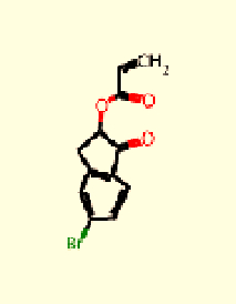 C=CC(=O)OC1Cc2cc(Br)ccc2C1=O